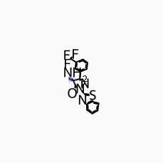 N/C=C1/C(=O)N(c2nc3ccccc3s2)N=C1c1cccc(C(F)(F)F)c1